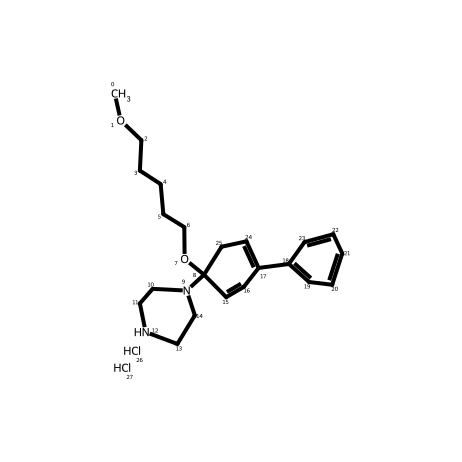 COCCCCCOC1(N2CCNCC2)C=CC(c2ccccc2)=CC1.Cl.Cl